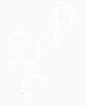 COC(=O)C1CC(OC(=O)c2ccccc2)C2(CCCC2)C1=O